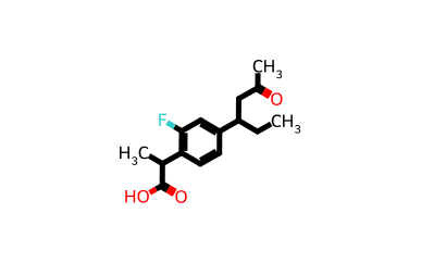 CCC(CC(C)=O)c1ccc(C(C)C(=O)O)c(F)c1